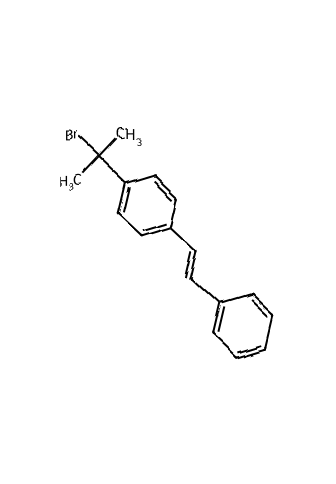 CC(C)(Br)c1ccc(C=Cc2ccccc2)cc1